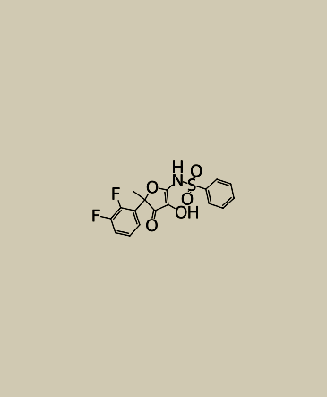 CC1(c2cccc(F)c2F)OC(NS(=O)(=O)c2ccccc2)=C(O)C1=O